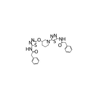 O=C(Cc1ccccc1)Nc1nnc(OC2CCCN(c3nnc(NC(=O)Cc4ccccc4)s3)C2)s1